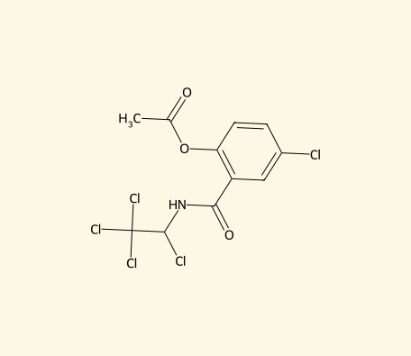 CC(=O)Oc1ccc(Cl)cc1C(=O)NC(Cl)C(Cl)(Cl)Cl